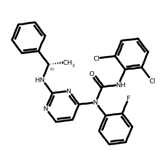 C[C@H](Nc1nccc(N(C(=O)Nc2c(Cl)cccc2Cl)c2ccccc2F)n1)c1ccccc1